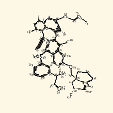 C#Cc1c(F)ccc2cc(OCOC)cc(-c3nc(Nc4cccc(C(O)CO)c4)c4cnc(OC[C@@]56CCCN5C[C@H](F)C6)nc4c3F)c12